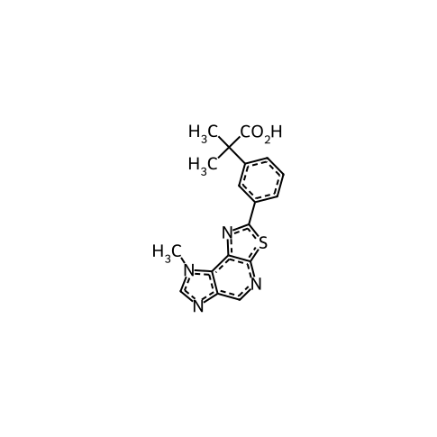 Cn1cnc2cnc3sc(-c4cccc(C(C)(C)C(=O)O)c4)nc3c21